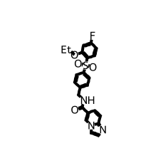 CCOc1cc(F)ccc1S(=O)(=O)c1ccc(CNC(=O)c2ccc3nccn3c2)cc1